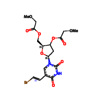 COCC(=O)OC[C@@H]1O[C@H](n2cc(/C=C/Br)c(=O)[nH]c2=O)CC1OC(=O)COC